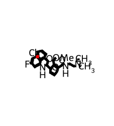 COC(=O)C1=C(C(=O)NCCN(C)C)C2C=CC1(C(Cc1ccccc1)Nc1cc(F)cc(Cl)c1)O2